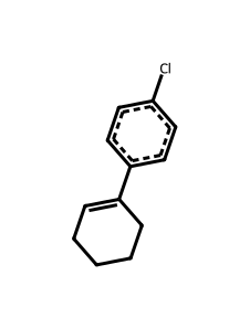 Clc1ccc(C2=CCCCC2)cc1